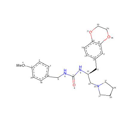 COc1ccc(CNC(=O)N[C@@H](Cc2ccc3c(c2)OCCO3)CN2CCCC2)cc1